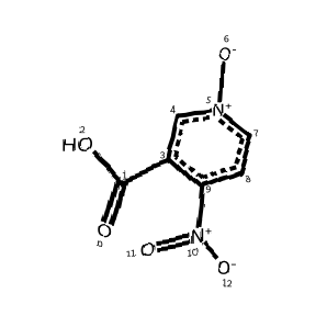 O=C(O)c1c[n+]([O-])ccc1[N+](=O)[O-]